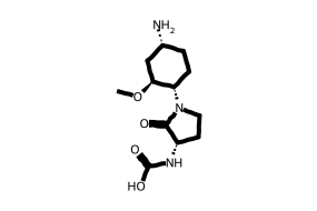 CO[C@H]1C[C@H](N)CC[C@@H]1N1CC[C@H](NC(=O)O)C1=O